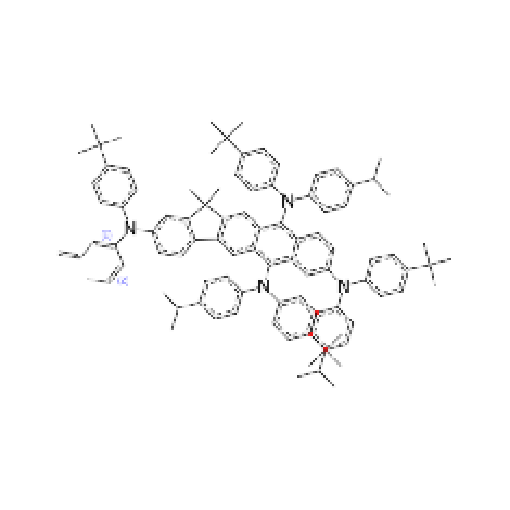 C=C/C=C(\C=C/C)N(c1ccc(C(C)(C)C)cc1)c1ccc2c(c1)C(C)(C)c1cc3c(N(c4ccc(C(C)C)cc4)c4ccc(C(C)(C)C)cc4)c4ccc(N(c5ccc(C(C)C)cc5)c5ccc(C(C)(C)C)cc5)cc4c(N(c4ccc(C(C)C)cc4)c4ccc(C(C)(C)C)cc4)c3cc1-2